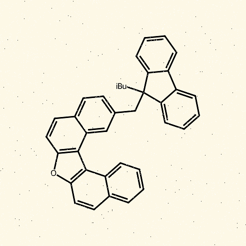 CCC(C)C1(Cc2ccc3ccc4oc5ccc6ccccc6c5c4c3c2)c2ccccc2-c2ccccc21